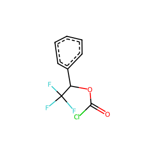 O=C(Cl)OC(c1ccccc1)C(F)(F)F